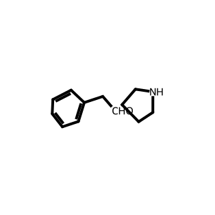 C1CCNC1.O=CCc1ccccc1